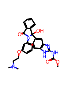 COC(=O)Nc1nc2cc(C3(O)c4ccccc4C(=O)N3c3cccc(OCCN(C)C)c3)ccc2[nH]1